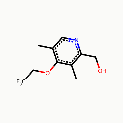 Cc1cnc(CO)c(C)c1OCC(F)(F)F